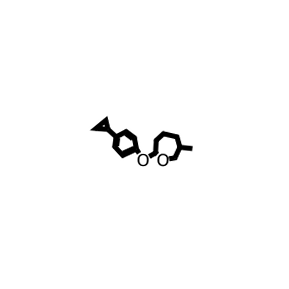 CC1CCCC(Oc2ccc(C3CC3)cc2)OC1